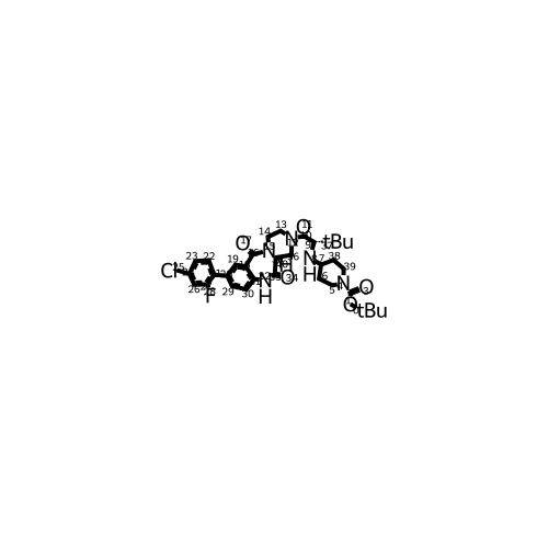 CC(C)(C)OC(=O)N1CCC(N[C@H](C(=O)N2CCN3C(=O)c4cc(-c5ccc(Cl)cc5F)ccc4NC(=O)[C@H]3C2)C(C)(C)C)CC1